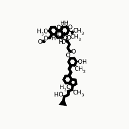 C=C1/C(=C\C=C2/CCC[C@@]3(C)C2CCC3[C@@H](C)/C=C/[C@@H](O)C2CC2)C[C@@H](OC(=O)CCC(=O)O[C@@H]2[C@@]3(C(C)C)O[C@H]3[C@@H]3O[C@]34[C@]23O[C@H]3C[C@H]2C(COC=O)=C(C)CC[C@@]24C)C[C@@H]1O